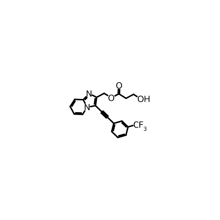 O=C(CCO)OCc1nc2ccccn2c1C#Cc1cccc(C(F)(F)F)c1